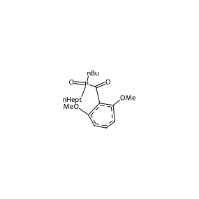 CCCCCCCP(=O)(CCCC)C(=O)c1c(OC)cccc1OC